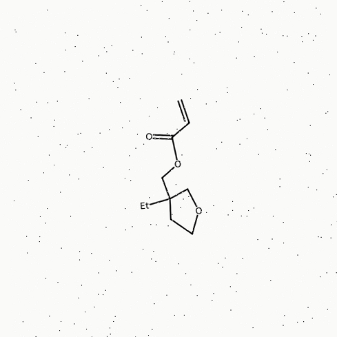 C=CC(=O)OCC1(CC)CCOC1